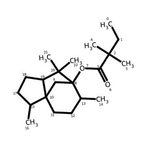 CCC(C)(C)C(=O)OC12CC3(CCC1C)C(C)CCC3C2(C)C